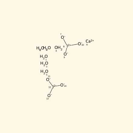 O.O.O.O.O.O.[Ca+2].[O-][I+2]([O-])[O-].[O-][I+2]([O-])[O-]